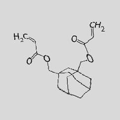 C=CC(=O)OCC12CC3CC(C1)CC(COC(=O)C=C)(C3)C2